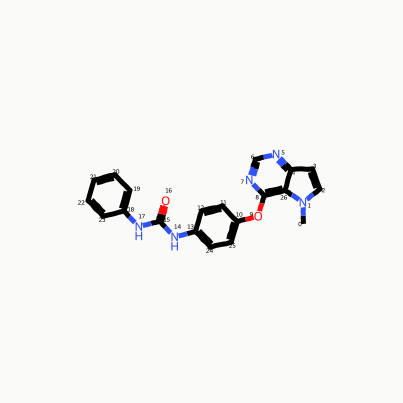 Cn1ccc2ncnc(Oc3ccc(NC(=O)Nc4ccccc4)cc3)c21